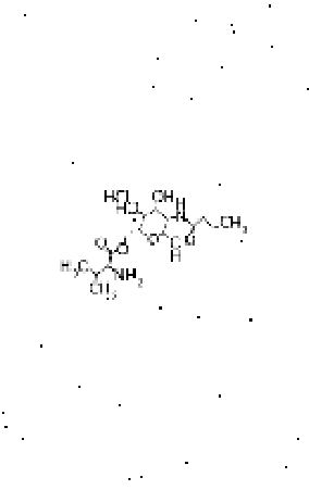 CCCC(=O)N[C@H]1C(O)O[C@H](COC(=O)[C@@H](N)C(C)C)[C@@H](O)[C@@H]1O.Cl